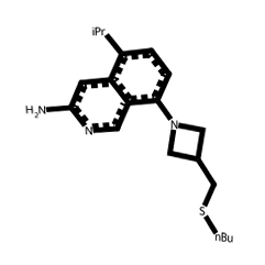 CCCCSCC1CN(c2ccc(C(C)C)c3cc(N)ncc23)C1